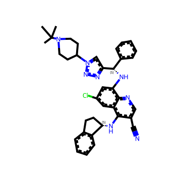 CC(C)(C)N1CCC(n2cc([C@@H](Nc3cc(Cl)cc4c(N[C@H]5CCc6ccccc65)c(C#N)cnc34)c3ccccc3)nn2)CC1